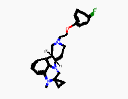 CN1c2cccc3c2N(CC12CC2)[C@H]1CCN(CCOc2ccc(F)cc2)C[C@@H]31